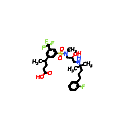 CC(CCC(=O)O)c1cc(C(F)(F)F)cc(S(=O)(=O)N(C)C[C@@H](O)CNC(C)(C)CCCc2ccccc2F)c1